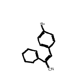 CC(C)(C)c1ccc(C=C(C#N)C2=CCCCC2)cc1